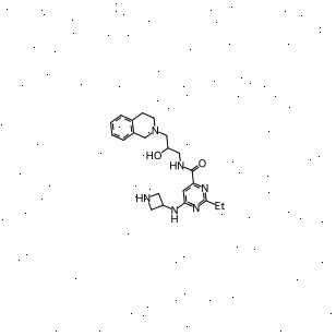 CCc1nc(NC2CNC2)cc(C(=O)NCC(O)CN2CCc3ccccc3C2)n1